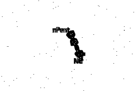 CCCCCC1CCC(c2ccc(C#Cc3ccc(SC#N)c(C)c3)cc2)CC1